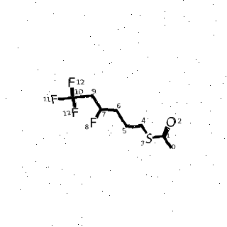 CC(=O)SCCCC(F)CC(F)(F)F